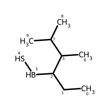 CCC(BS)C(C)C(C)C